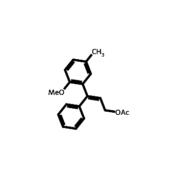 COc1ccc(C)cc1C(=CCOC(C)=O)c1ccccc1